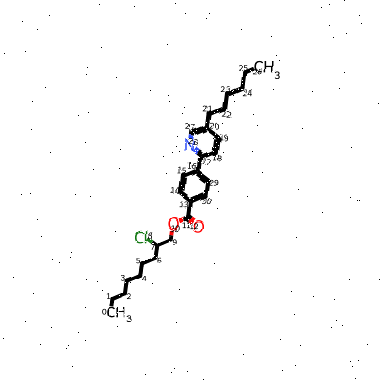 CCCCCCCC(Cl)COC(=O)c1ccc(-c2ccc(CCCCCC)cn2)cc1